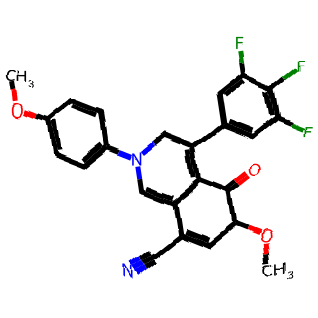 COc1ccc(N2C=C3C(C#N)=CC(OC)C(=O)C3=C(c3cc(F)c(F)c(F)c3)C2)cc1